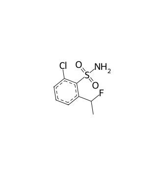 CC(F)c1cccc(Cl)c1S(N)(=O)=O